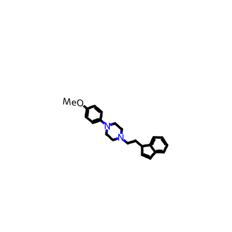 COc1ccc(N2CCN(CCC3C=Cc4ccccc43)CC2)cc1